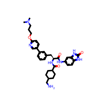 CN(C)CCCOc1ccc(-c2cccc(C[C@H](NC(=O)C3CCC(CN)CC3)C(=O)Nc3ccc4[nH]c(=O)[nH]c4c3)c2)cn1